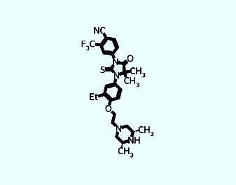 CCc1cc(N2C(=S)N(c3ccc(C#N)c(C(F)(F)F)c3)C(=O)C2(C)C)ccc1OCCN1C[C@@H](C)N[C@@H](C)C1